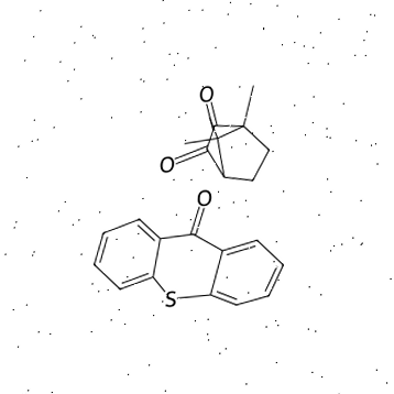 CC12CCC(C(=O)C1=O)C2(C)C.O=c1c2ccccc2sc2ccccc12